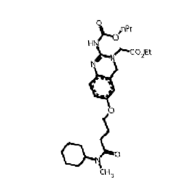 CCCOC(=O)NC1=Nc2ccc(OCCCC(=O)N(C)C3CCCCC3)cc2CN1CC(=O)OCC